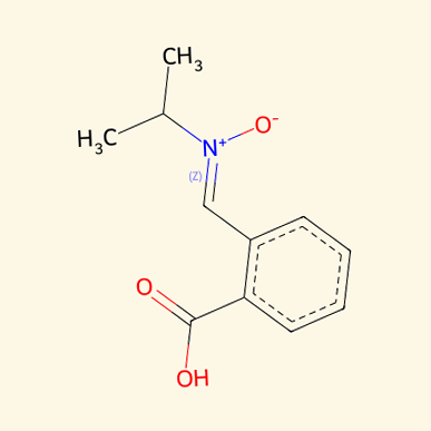 CC(C)/[N+]([O-])=C/c1ccccc1C(=O)O